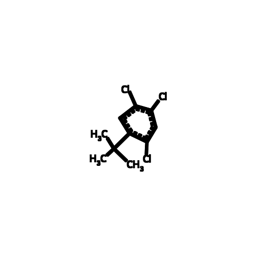 CC(C)(C)c1cc(Cl)c(Cl)cc1Cl